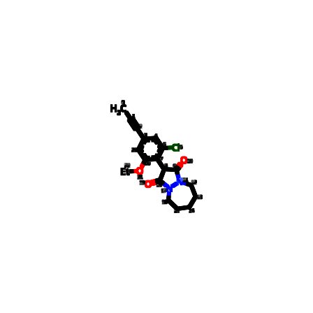 CC#Cc1cc(Cl)c(C2C(=O)N3CCCCCN3C2=O)c(OCC)c1